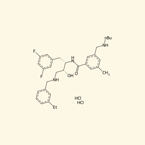 CCCCNCc1cc(C)cc(C(=O)N[C@@H](Cc2cc(F)cc(F)c2)[C@H](O)CNCc2cccc(CC)c2)c1.Cl.Cl